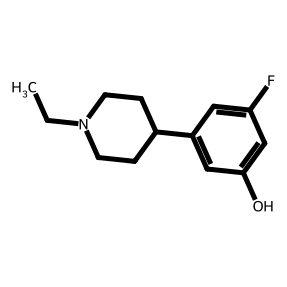 CCN1CCC(c2cc(O)cc(F)c2)CC1